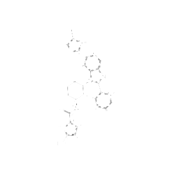 Cc1coc(-c2cc3c(cn2)nc(-c2ccccn2)n3[C@@H]2CCC[C@H](NC(=O)c3ccc(Br)s3)C2)n1